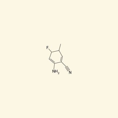 CC1C=C(C#N)C(N)=CC1F